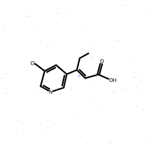 CC/C(=C\C(=O)O)c1cncc(Cl)c1